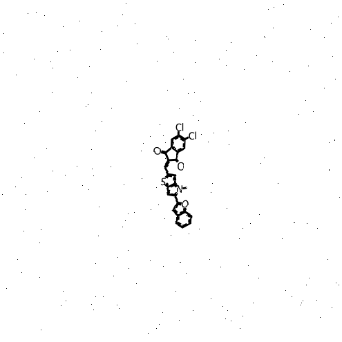 Cn1c(-c2cc3ccccc3o2)cc2sc(C=C3C(=O)c4cc(Cl)c(Cl)cc4C3=O)cc21